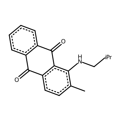 Cc1ccc2c(c1NCC(C)C)C(=O)c1ccccc1C2=O